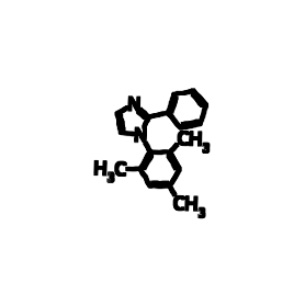 Cc1cc(C)c(-n2ccnc2-c2ccccc2)c(C)c1